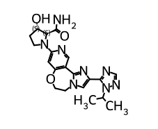 CC(C)n1ncnc1-c1cn2c(n1)-c1cnc(N3CC[C@H](O)[C@H]3C(N)=O)cc1OCC2